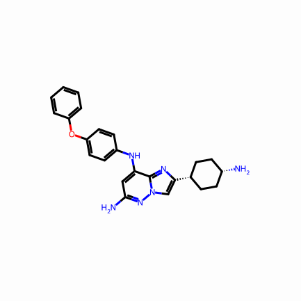 Nc1cc(Nc2ccc(Oc3ccccc3)cc2)c2nc([C@H]3CC[C@@H](N)CC3)cn2n1